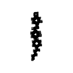 CCCCC[C@H]1CC[C@H](c2ccc(CSc3ccc(Cl)cc3)cc2)CC1